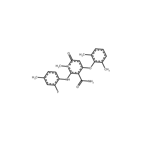 Cc1ccc(Nc2c(C(N)=O)c(Oc3c(C)cccc3C)cc(=O)n2C)c(F)c1